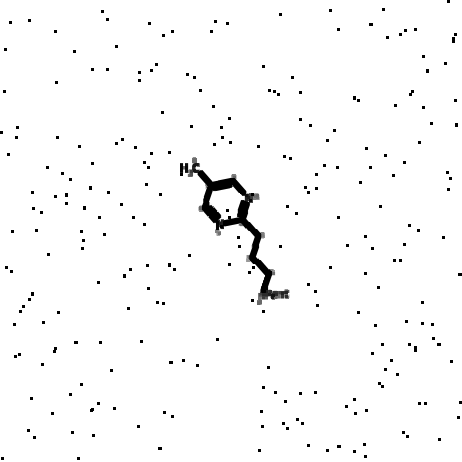 CCCCCCCCc1ncc(C)cn1